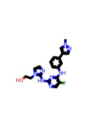 Cn1cc(-c2cccc(Nc3nc(Nc4nccn4CCO)ncc3F)c2)cn1